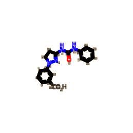 O=C(NC1=NN(c2cccc(C(=O)O)c2)CC1)Nc1ccccc1